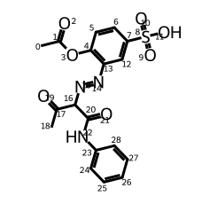 CC(=O)Oc1ccc(S(=O)(=O)O)cc1/N=N/C(C(C)=O)C(=O)Nc1ccccc1